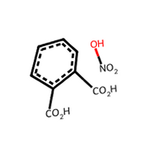 O=C(O)c1ccccc1C(=O)O.O=[N+]([O-])O